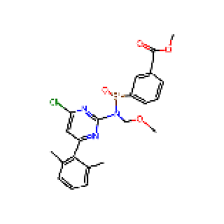 COCN(c1nc(Cl)cc(-c2c(C)cccc2C)n1)[S+]([O-])c1cccc(C(=O)OC)c1